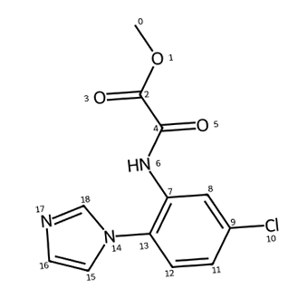 COC(=O)C(=O)Nc1cc(Cl)ccc1-n1ccnc1